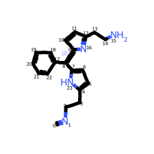 C=NCCc1ccc(/C(=C2/C=CC(CCN)=N2)c2ccccc2)[nH]1